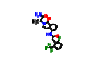 C[C@H](C(N)=O)n1ccc2c(NC(=O)Cc3c(F)cccc3C(F)(F)F)cccc2c1=O